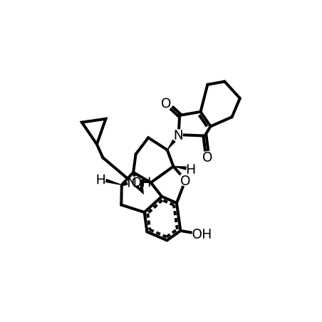 O=C1C2=C(CCCC2)C(=O)N1[C@@H]1CCC2(O)[C@H]3Cc4ccc(O)c5c4[C@@]2(CCN3CC2CC2)[C@H]1O5